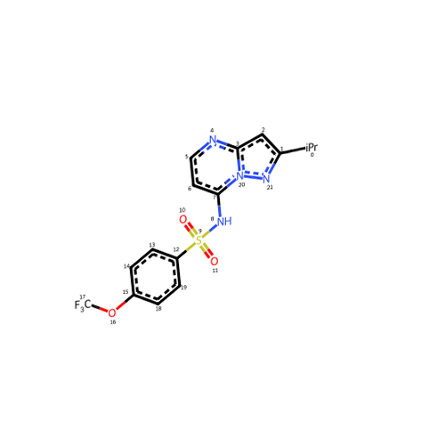 CC(C)c1cc2nccc(NS(=O)(=O)c3ccc(OC(F)(F)F)cc3)n2n1